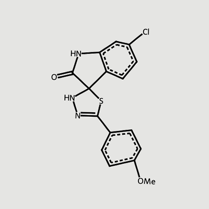 COc1ccc(C2=NNC3(S2)C(=O)Nc2cc(Cl)ccc23)cc1